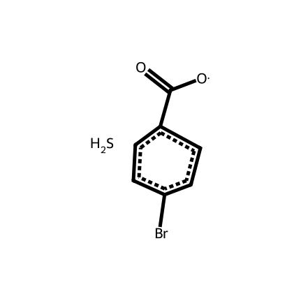 S.[O]C(=O)c1ccc(Br)cc1